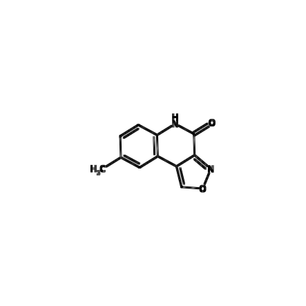 Cc1ccc2[nH]c(=O)c3nocc3c2c1